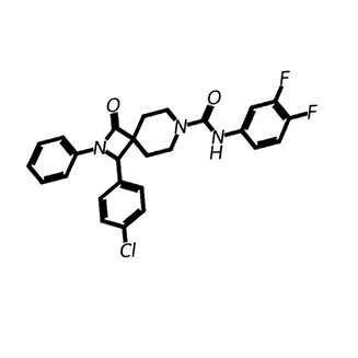 O=C(Nc1ccc(F)c(F)c1)N1CCC2(CC1)C(=O)N(c1ccccc1)C2c1ccc(Cl)cc1